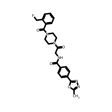 Cc1nnc(-c2ccc(C(=O)NCC(=O)N3CCN(C(=O)c4ccccc4CF)CC3)cc2)o1